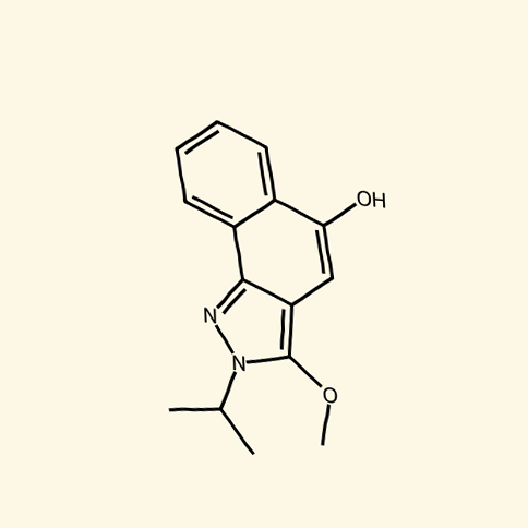 COc1c2cc(O)c3ccccc3c2nn1C(C)C